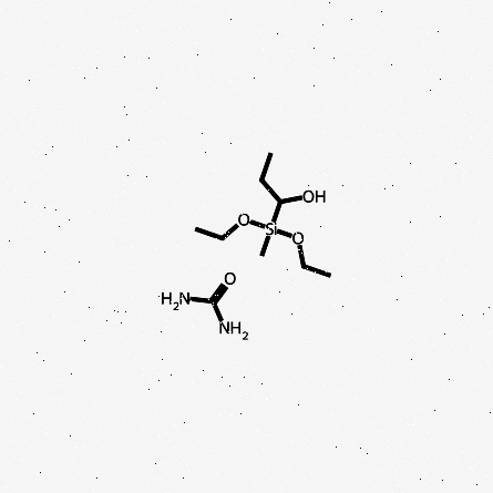 CCO[Si](C)(OCC)C(O)CC.NC(N)=O